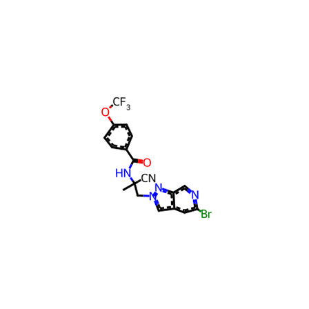 CC(C#N)(Cn1cc2cc(Br)ncc2n1)NC(=O)c1ccc(OC(F)(F)F)cc1